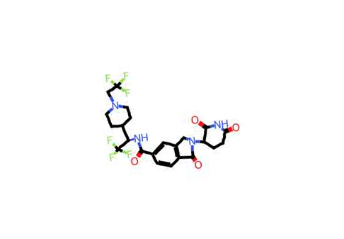 O=C1CCC(N2Cc3cc(C(=O)N[C@H](C4CCN(CC(F)(F)F)CC4)C(F)(F)F)ccc3C2=O)C(=O)N1